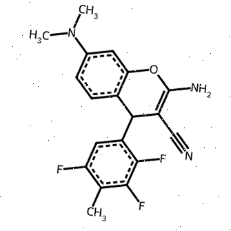 Cc1c(F)cc(C2C(C#N)=C(N)Oc3cc(N(C)C)ccc32)c(F)c1F